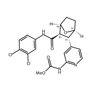 COC(=O)Nc1cc([C@@H]2[C@@H](C(=O)Nc3ccc(Cl)c(Cl)c3)[C@H]3CC[C@@H]2O3)ccn1